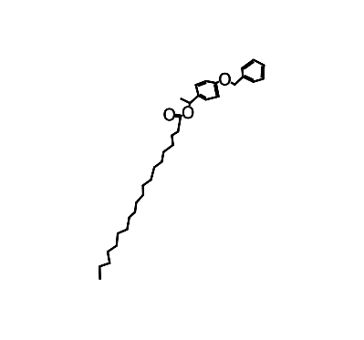 CCCCCCCCCCCCCCCCCCCC(=O)OC(C)c1ccc(OCc2ccccc2)cc1